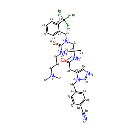 CN(C)CCCNC(=S)N(Cc1ccccc1C(F)(F)F)CC(C)(C)NC(=O)Cc1cncn1Cc1ccc(C#N)cc1